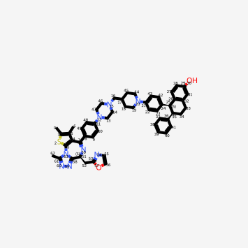 Cc1sc2c(c1C)C(c1ccc(N3CCN(CC4CCN(c5ccc([C@H]6c7ccc(O)cc7CC[C@H]6c6ccccc6)cc5)CC4)CC3)cc1)=N[C@@H](Cc1ncco1)c1nnc(C)n1-2